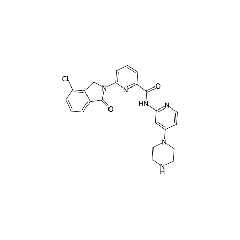 O=C(Nc1cc(N2CCNCC2)ccn1)c1cccc(N2Cc3c(Cl)cccc3C2=O)n1